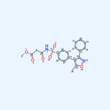 COC(=O)CC(=O)NS(=O)(=O)c1ccc(-c2c(-c3ccccc3)noc2C)cc1